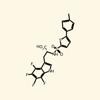 Cc1ccc(-c2ccc(S(=O)(=O)N[C@H](Cc3c[nH]c4c(F)c(F)c(F)c(F)c34)C(=O)O)s2)cc1